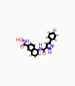 O=C(NO)c1ccc2c(c1)CCCC2NC(=O)c1cc(-c2ccc(F)cc2)n[nH]1